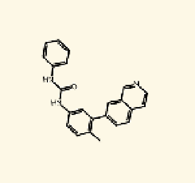 Cc1ccc(NC(=O)Nc2ccccc2)cc1-c1ccc2ccncc2c1